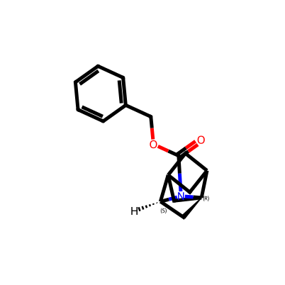 O=C(OCc1ccccc1)N1[C@H]2C[C@@]13CC21CC3C1